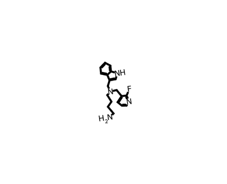 NCCCCN(Cc1cccnc1F)Cc1c[nH]c2ccccc12